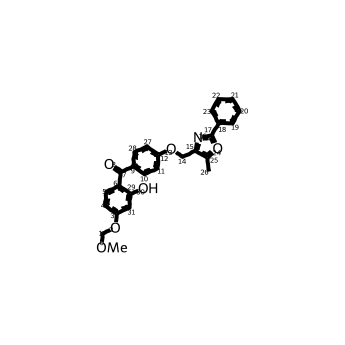 COCOc1ccc(C(=O)c2ccc(OCc3nc(-c4ccccc4)oc3C)cc2)c(O)c1